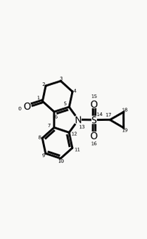 O=C1CCCc2c1c1ccccc1n2S(=O)(=O)C1CC1